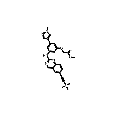 COC(=O)COc1cc(Nc2ncc3cc(C#C[Si](C)(C)C)ccc3n2)cc(-c2cnn(C)c2)c1